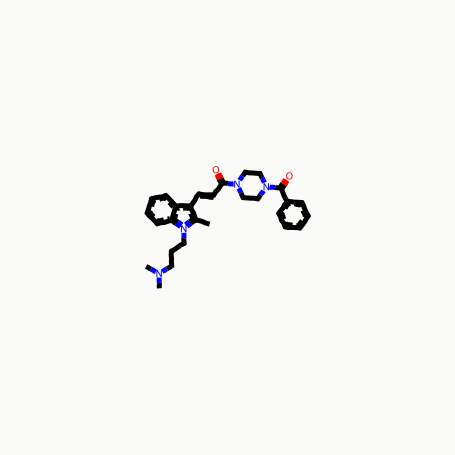 Cc1c(C=CC(=O)N2CCN(C(=O)c3ccccc3)CC2)c2ccccc2n1CCCN(C)C